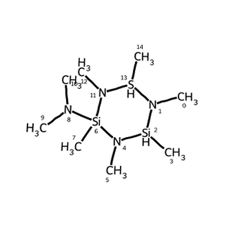 CN1[SiH](C)N(C)[Si](C)(N(C)C)N(C)[SH]1C